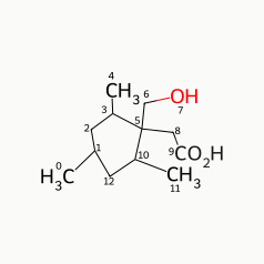 CC1CC(C)C(CO)(CC(=O)O)C(C)C1